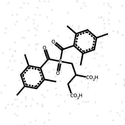 Cc1cc(C)c(C(=O)P(=O)(CC(CC(=O)O)C(=O)O)C(=O)c2c(C)cc(C)cc2C)c(C)c1